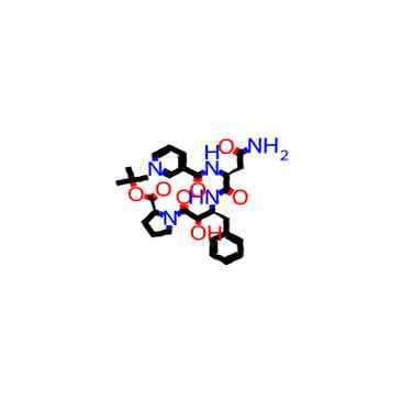 CC(C)(C)OC(=O)[C@@H]1CCCN1C(=O)C(O)[C@H](Cc1ccccc1)NC(=O)[C@H](CC(N)=O)NC(=O)c1cccnc1